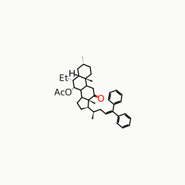 CC[C@H]1[C@@H](OC(C)=O)C2C3CC[C@H]([C@H](C)CC=C(c4ccccc4)c4ccccc4)[C@@]3(C)C(=O)CC2[C@@]2(C)CC[C@@H](C)C[C@@H]12